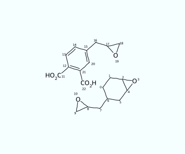 C1CC2OC2CC1CC1CO1.O=C(O)c1ccc(CC2CO2)cc1C(=O)O